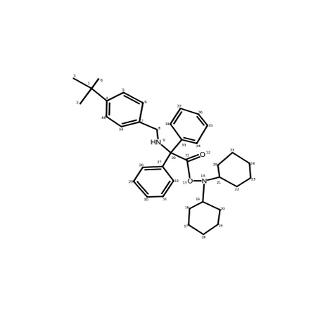 CC(C)(C)c1ccc(CNC(C(=O)ON(C2CCCCC2)C2CCCCC2)(c2ccccc2)c2ccccc2)cc1